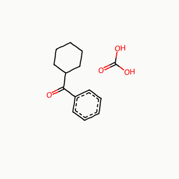 O=C(O)O.O=C(c1ccccc1)C1CCCCC1